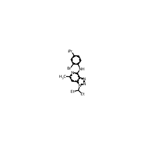 CCC(CC)n1nnc2c(Nc3ccc(C(C)C)cc3Br)nc(C)cc21